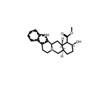 COC(=O)C1[C@H]2CC3c4[nH]c5ccccc5c4CCN3C[C@@H]2CC[C@@H]1O